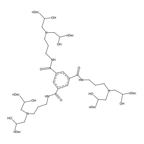 CCCCCCCCCCC(O)CN(CCCNC(=O)c1cc(C(=O)NCCCN(CC(O)CCCCCCCCCC)CC(O)CCCCCCCCCC)cc(C(=O)NCCCN(CC(O)CCCCCCCCCC)CC(O)CCCCCCCCCC)c1)CC(O)CCCCCCCCCC